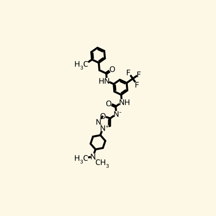 Cc1ccccc1CC(=O)Nc1cc(NC(=O)[N-]c2c[n+](C3CCC(N(C)C)CC3)no2)cc(C(F)(F)F)c1